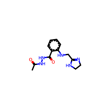 CC(=O)NNC(=O)c1ccccc1NCC1=NCCN1